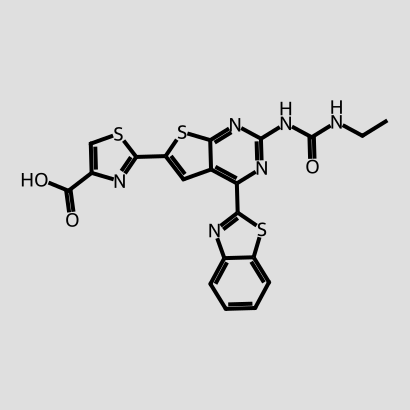 CCNC(=O)Nc1nc(-c2nc3ccccc3s2)c2cc(-c3nc(C(=O)O)cs3)sc2n1